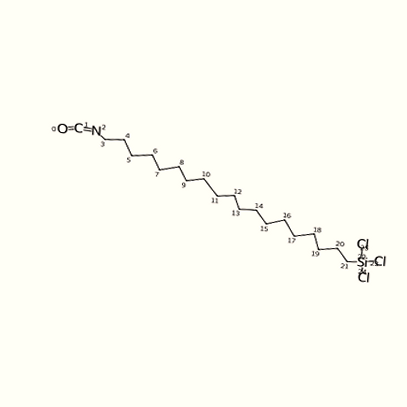 O=C=NCCCCCCCCCCCCCCCCCCC[Si](Cl)(Cl)Cl